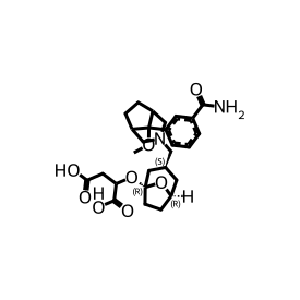 COC1(c2cccc(C(N)=O)c2)C2CCC1CN(C[C@H]1C[C@H]3CC[C@@](OC(CC(=O)O)C(=O)O)(C1)O3)C2